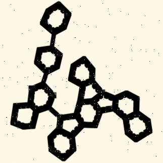 c1ccc(-c2ccc(-c3nc(-n4c5ccccc5c5cc6c7c8ccccc8ccc7n7c8ccccc8c(c54)c67)c4ccccc4n3)cc2)cc1